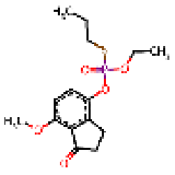 CCCSP(=O)(OCC)Oc1ccc(OC)c2c1CCC2=O